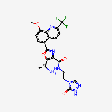 COc1ccc(-c2nc(C(=O)NCCn3cn[nH]c3=O)c([C@H](C)N)o2)c2ccc(C(F)(F)F)nc12